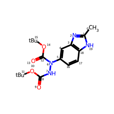 Cc1nc2cc(N(NC(=O)OC(C)(C)C)C(=O)OC(C)(C)C)ccc2[nH]1